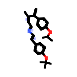 C=C(\C(C)=C/C=N/C=C/c1ccc(OC(C)(C)C)cc1)c1ccc(OC(C)C)cc1